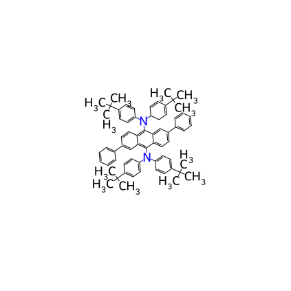 CC(C)(C)C1=CCC(N(c2ccc(C(C)(C)C)cc2)c2c3ccc(-c4ccccc4)cc3c(N(c3ccc(C(C)(C)C)cc3)c3ccc(C(C)(C)C)cc3)c3ccc(-c4ccccc4)cc23)C=C1